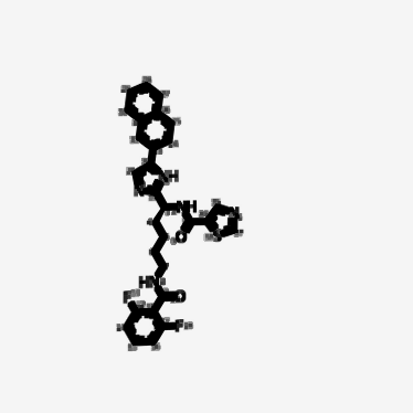 O=C(N[C@@H](CCCCNC(=O)c1c(F)cccc1F)c1ncc(-c2ccc3ccccc3c2)[nH]1)c1cncs1